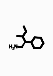 CCC(C)[C@H](CN)C1CCCCC1